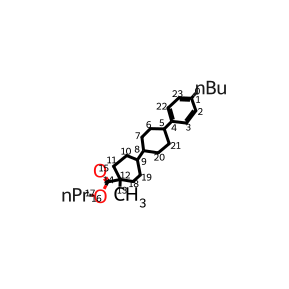 CCCCc1ccc(C2CCC(C3CCC(C)(C(=O)OCCC)CC3)CC2)cc1